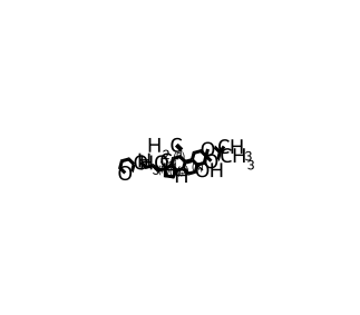 C=C[C@H]1C[C@@]2(C)[C@@H](CC[C@@]2(O)CCCOC2CCCOC2)[C@@H]2CC[C@@]3(O)CC4(CCC3=C21)OCC(C)(C)CO4